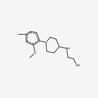 COc1cc(C)ccc1N1CCC(NCCO)CC1